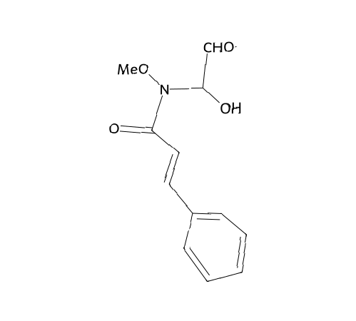 CON(C(=O)C=Cc1ccccc1)C(O)[C]=O